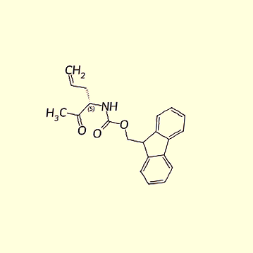 C=CC[C@H](NC(=O)OCC1c2ccccc2-c2ccccc21)C(C)=O